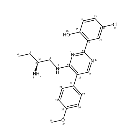 CC[C@H](N)CNc1nc(-c2cc(Cl)ccc2O)ncc1-c1ccc(OC)cc1